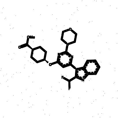 COC(=O)[C@H]1CC[C@H](Oc2cc(-n3c(C(F)F)nc4ccccc43)nc(N3CCOCC3)n2)CC1